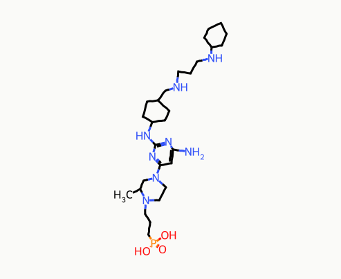 CC1CN(c2cc(N)nc(NC3CCC(CNCCCNC4CCCCC4)CC3)n2)CCN1CCCP(=O)(O)O